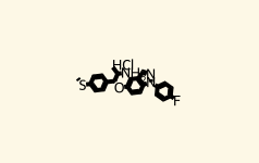 CSc1ccc(C(Oc2ccc3c(cnn3-c3ccc(F)cc3)c2)C(C)N)cc1.Cl